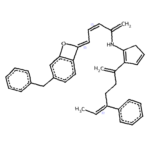 C=C(/C=C\C=C1/Oc2cc(Cc3ccccc3)ccc21)NC1=C(C(=C)CC/C(=C\C)c2ccccc2)C=CC1